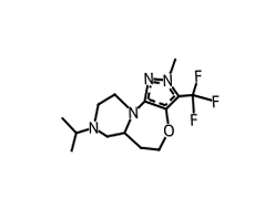 CC(C)N1CCN2c3nn(C)c(C(F)(F)F)c3OCCC2C1